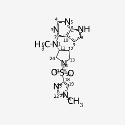 CN(c1ncnc2[nH]ccc12)[C@@H]1CCN(S(=O)(=O)c2cn(C)cn2)C1